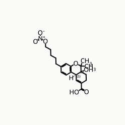 CC1(C)Oc2cc(CCCCCO[N+](=O)[O-])ccc2[C@@H]2C=C(C(=O)O)CC[C@]21O